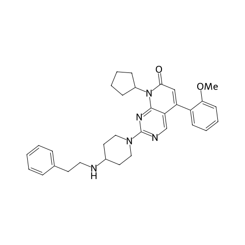 COc1ccccc1-c1cc(=O)n(C2CCCC2)c2nc(N3CCC(NCCc4ccccc4)CC3)ncc12